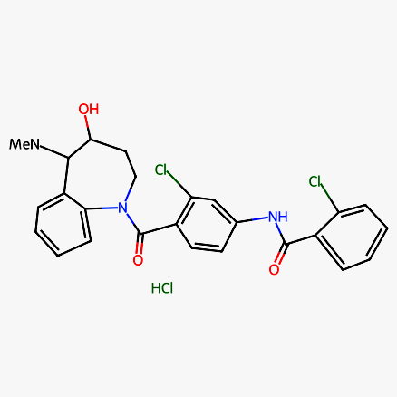 CNC1c2ccccc2N(C(=O)c2ccc(NC(=O)c3ccccc3Cl)cc2Cl)CCC1O.Cl